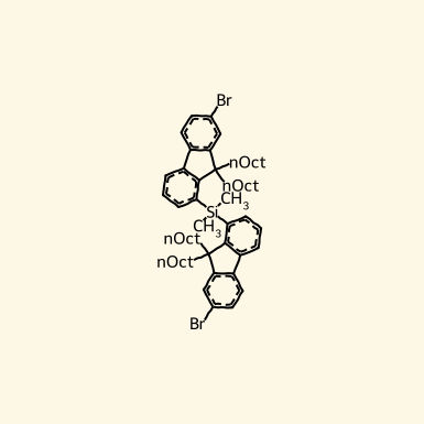 CCCCCCCCC1(CCCCCCCC)c2cc(Br)ccc2-c2cccc([Si](C)(C)c3cccc4c3C(CCCCCCCC)(CCCCCCCC)c3cc(Br)ccc3-4)c21